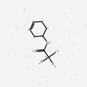 O=C(OC1CC=CCC1)C(F)(F)F